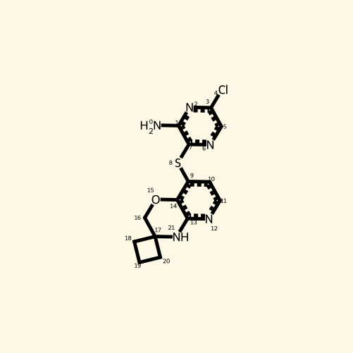 Nc1nc(Cl)cnc1Sc1ccnc2c1OCC1(CCC1)N2